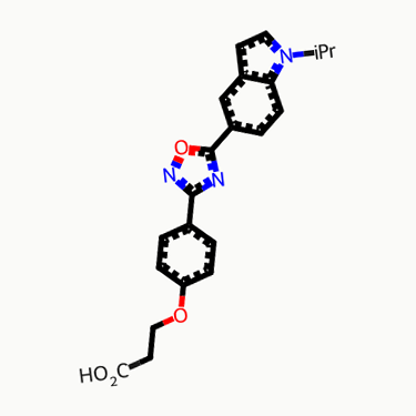 CC(C)n1ccc2cc(-c3nc(-c4ccc(OCCC(=O)O)cc4)no3)ccc21